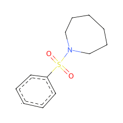 O=S(=O)(c1cc[c]cc1)N1CCCCCC1